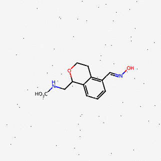 O=C(O)NCC1OCCc2c(C=NO)cccc21